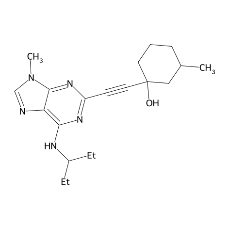 CCC(CC)Nc1nc(C#CC2(O)CCCC(C)C2)nc2c1ncn2C